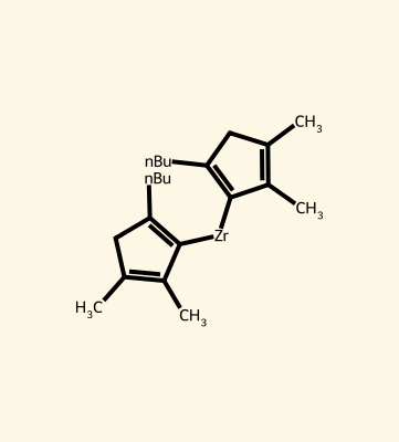 CCCCC1=[C]([Zr][C]2=C(CCCC)CC(C)=C2C)C(C)=C(C)C1